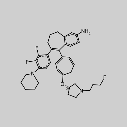 Nc1ccc2c(c1)CCCC(c1ccc(N3CCCCC3)c(F)c1F)=C2C1=CC=C(O[C@H]2CCN(CCCF)C2)CC=C1